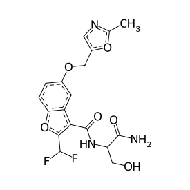 Cc1ncc(COc2ccc3oc(C(F)F)c(C(=O)NC(CO)C(N)=O)c3c2)o1